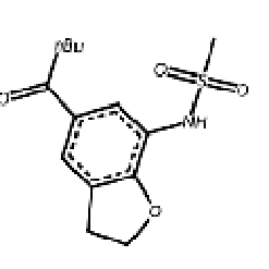 [CH2]CCCC(=O)c1cc2c(c(NS(C)(=O)=O)c1)OCC2